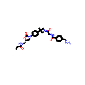 CCC(=O)NC[C@H]1CN(c2ccc(C3(C)CN(C(=O)CNC(=O)c4ccc(CN)cc4)C3)cc2)C(=O)O1